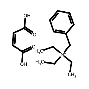 CC[N+](CC)(CC)Cc1ccccc1.O=C(O)/C=C\C(=O)O